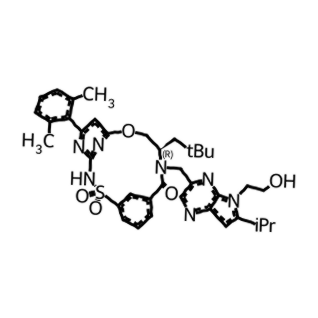 Cc1cccc(C)c1-c1cc2nc(n1)NS(=O)(=O)c1cccc(c1)C(=O)N(Cc1cnc3cc(C(C)C)n(CCO)c3n1)[C@H](CC(C)(C)C)CO2